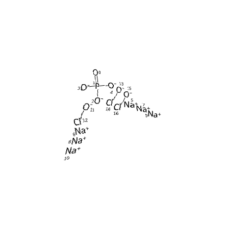 O=P([O-])([O-])[O-].[Na+].[Na+].[Na+].[Na+].[Na+].[Na+].[O-]Cl.[O-]Cl.[O-]Cl